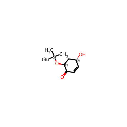 CC(C)(C)[Si](C)(C)O[C@H]1C[C@H](O)C=CC1=O